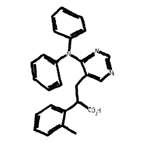 Cc1ccccc1C(Cc1cncnc1N(c1ccccc1)c1ccccc1)C(=O)O